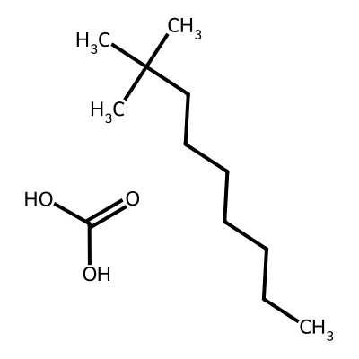 CCCCCCCC(C)(C)C.O=C(O)O